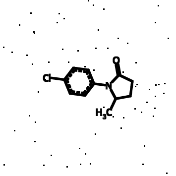 CC1CCC(=O)N1c1ccc(Cl)cc1